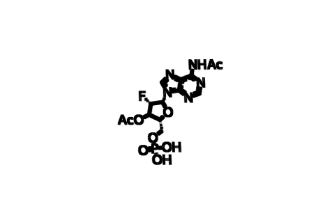 CC(=O)Nc1ncnc2c1ncn2[C@@H]1O[C@H](COP(=O)(O)O)C(OC(C)=O)[C@@H]1F